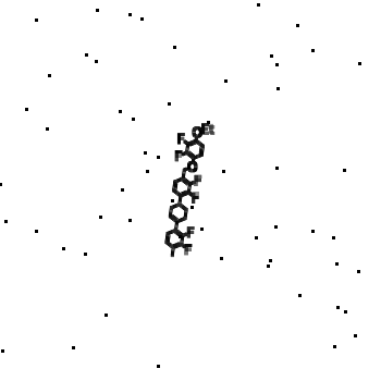 CCOc1ccc(OCc2ccc(C3CC=C(c4ccc(C)c(F)c4F)CC3)c(F)c2F)c(F)c1F